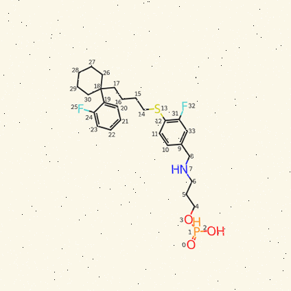 O=[PH](O)OCCCNCc1ccc(SCCCCC2(c3ccccc3F)CCCCC2)c(F)c1